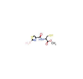 Bc1nc(C(=O)NC(CS)C(=O)OC)cs1